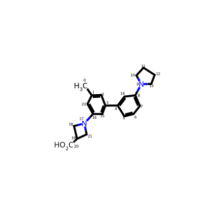 Cc1cc(-c2cccc(N3CCCC3)c2)cc(N2CC(C(=O)O)C2)c1